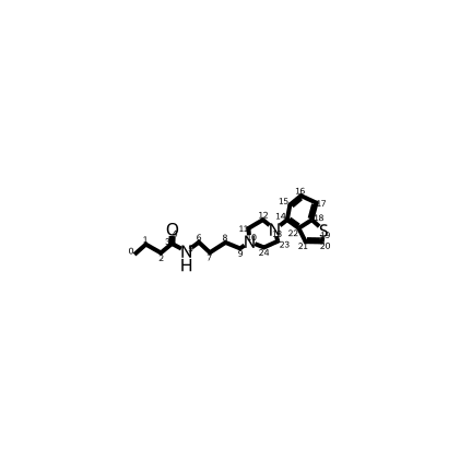 CCCC(=O)NCCCCN1CCN(c2cccc3sccc23)CC1